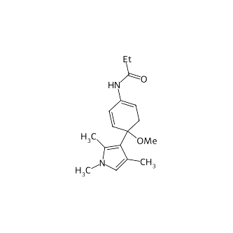 CCC(=O)NC1=CCC(OC)(c2c(C)cn(C)c2C)C=C1